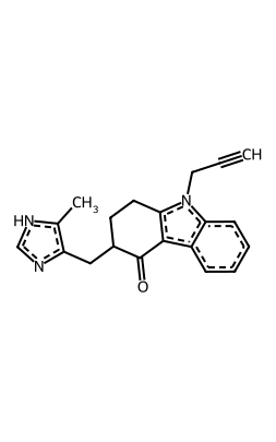 C#CCn1c2c(c3ccccc31)C(=O)C(Cc1nc[nH]c1C)CC2